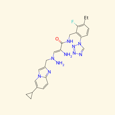 CCc1ccc(-n2cnnn2)c(CNC(=O)/C(N)=C/N(N)Cc2cn3cc(C4CC4)ccc3n2)c1F